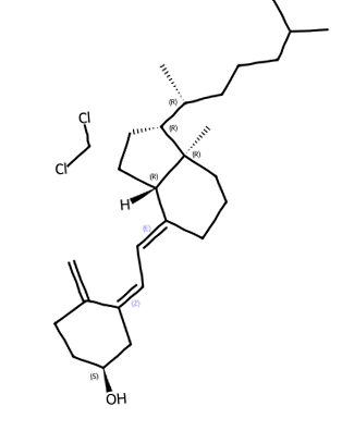 C=C1CC[C@H](O)C/C1=C/C=C1\CCC[C@]2(C)[C@@H]([C@H](C)CCCC(C)C)CC[C@@H]12.ClCCl